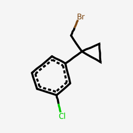 Clc1cccc(C2(CBr)CC2)c1